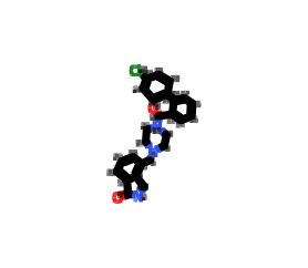 O=C1N=Cc2c(CN3CCN(C(=O)c4ccccc4-c4ccc(Cl)cc4)CC3)cccc21